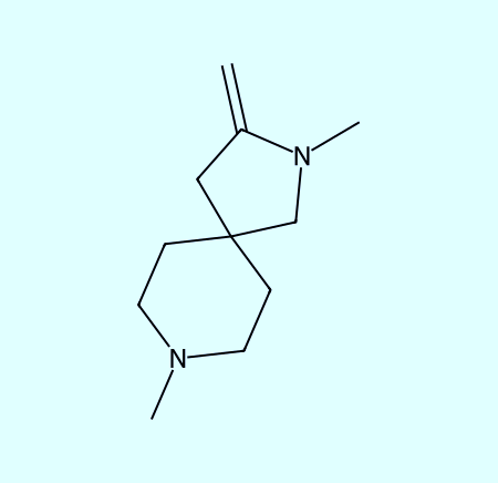 C=C1CC2(CCN(C)CC2)CN1C